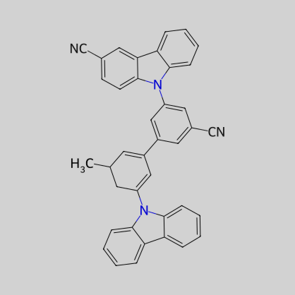 CC1C=C(c2cc(C#N)cc(-n3c4ccccc4c4cc(C#N)ccc43)c2)C=C(n2c3ccccc3c3ccccc32)C1